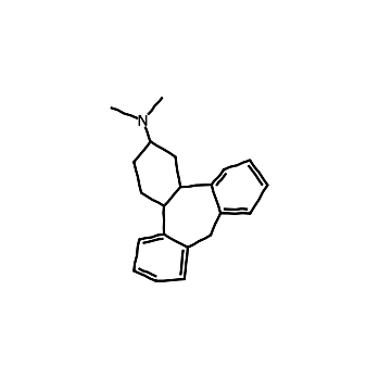 CN(C)C1CCC2c3ccccc3Cc3ccccc3C2C1